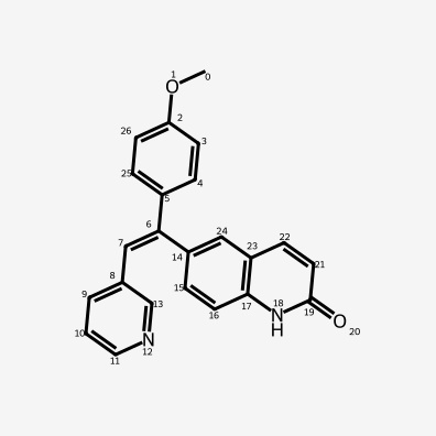 COc1ccc(/C(=C/c2cccnc2)c2ccc3[nH]c(=O)ccc3c2)cc1